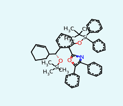 CC(C)(C)[Si](Oc1cccc([C@H](O[Si](C)(C)C)C2C=CCCC2)c1-c1nc(-c2ccccc2)c(-c2ccccc2)o1)(c1ccccc1)c1ccccc1